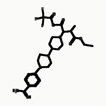 CCOC(=O)C(C)C(C(=O)OC(=O)C(F)(F)F)N1CCC(N2CCN(c3ccc(C(=N)N)cc3)CC2)CC1